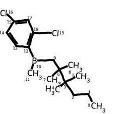 CCCC(C)(C)C(C)(C)CB(C)c1ccc(Cl)cc1Cl